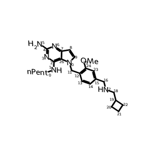 CCCCCNc1nc(N)nc2ccn(Cc3ccc(CNCC4CCC4)cc3OC)c12